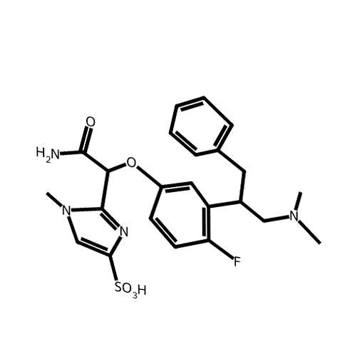 CN(C)CC(Cc1ccccc1)c1cc(OC(C(N)=O)c2nc(S(=O)(=O)O)cn2C)ccc1F